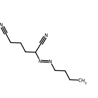 CCCCN=NC(C#N)CCCC#N